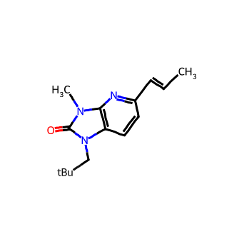 CC=Cc1ccc2c(n1)n(C)c(=O)n2CC(C)(C)C